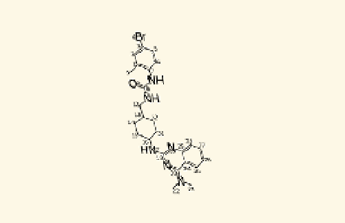 Cc1cc(Br)ccc1NC(=O)NCC1CCC(Nc2nc(N(C)C)c3ccccc3n2)CC1